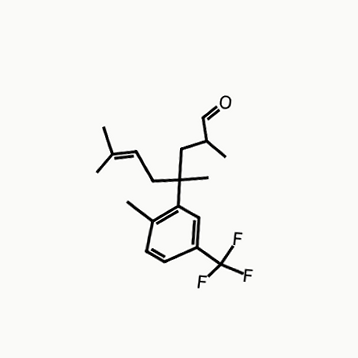 CC(C)=CCC(C)(CC(C)C=O)c1cc(C(F)(F)F)ccc1C